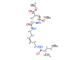 C[C@@H](CCC(C)(C)C)C(=O)NCC/C=C\CCNC(=O)[C@H](CCC(=O)OC(C)(C)C)NC(=O)OC(C)(C)C